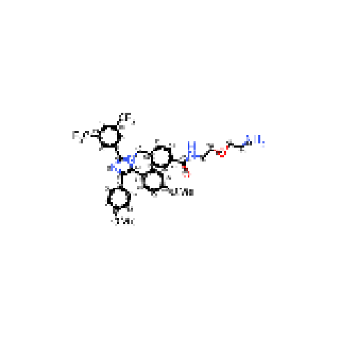 COc1ccc(-c2nc(-c3cc(C(F)(F)F)cc(C(F)(F)F)c3)n(Cc3ccc(C(=O)NCCOCCN)cc3)c2-c2ccc(OC)cc2)cc1